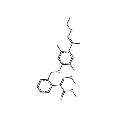 CCON=C(C)c1cc(C)c(OCc2ccccc2C(=COC)C(=O)OC)cc1C